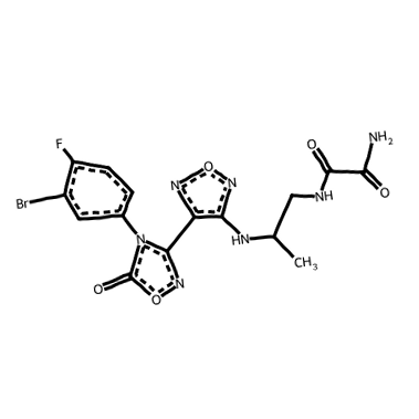 CC(CNC(=O)C(N)=O)Nc1nonc1-c1noc(=O)n1-c1ccc(F)c(Br)c1